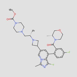 Cc1nc(F)c2c(-c3ccc(F)cc3C(=O)N3CCOC[C@H]3C)cc(C3CN([C@H](CN4CCN(C(=O)OC(C)(C)C)CC4)C(C)C)C3)cn12